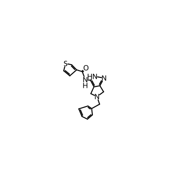 O=C(Nc1[nH]nc2c1CN(Cc1ccccc1)C2)c1ccsc1